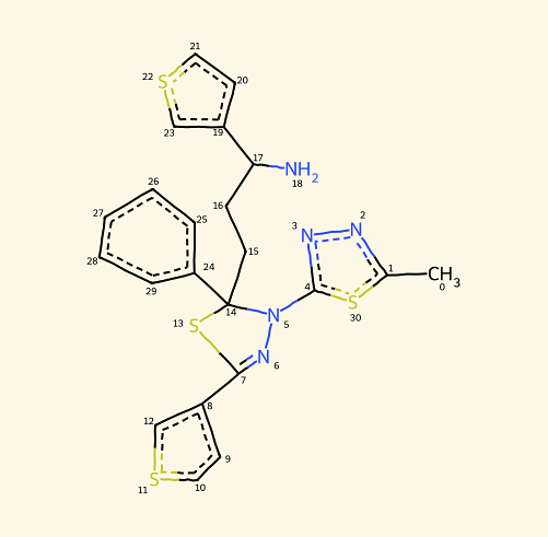 Cc1nnc(N2N=C(c3ccsc3)SC2(CCC(N)c2ccsc2)c2ccccc2)s1